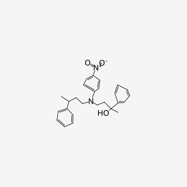 CC(CCN(CCC(C)(O)c1ccccc1)c1ccc([N+](=O)[O-])cc1)c1ccccc1